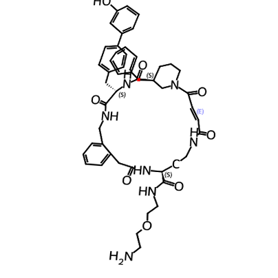 NCCOCCNC(=O)[C@@H]1CCNC(=O)/C=C/C(=O)N2CCC[C@](Cc3ccccc3)(C2)C(=O)N[C@@H](Cc2ccc(-c3cccc(O)c3)cc2)C(=O)NCc2ccccc2CC(=O)N1